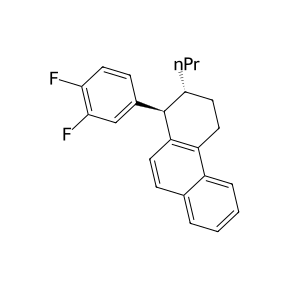 CCC[C@@H]1CCc2c(ccc3ccccc23)[C@H]1c1ccc(F)c(F)c1